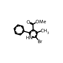 COC(=O)c1c(-c2ccccc2)[nH]c(Br)c1C